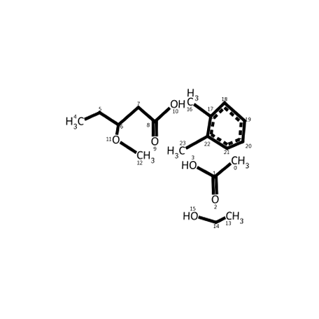 CC(=O)O.CCC(CC(=O)O)OC.CCO.Cc1ccccc1C